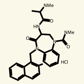 CNC(=O)N1CC(NC(=O)C(C)NC)C(=O)N(Cc2c(C)ccc3ccccc23)c2ccccc21.Cl